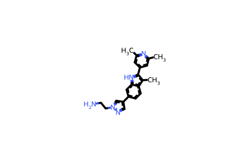 Cc1cc(-c2[nH]c3cc(-c4cnn(CCN)c4)ccc3c2C)cc(C)n1